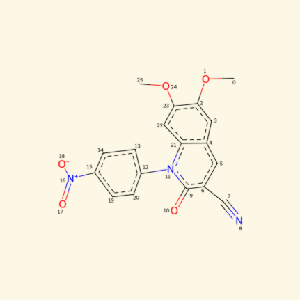 COc1cc2cc(C#N)c(=O)n(-c3ccc([N+](=O)[O-])cc3)c2cc1OC